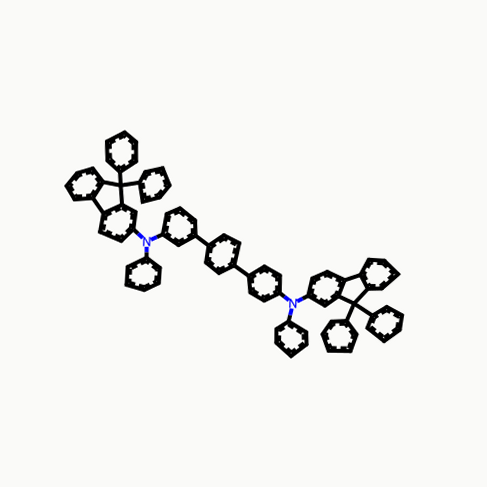 c1ccc(N(c2ccc(-c3ccc(-c4cccc(N(c5ccccc5)c5ccc6c(c5)C(c5ccccc5)(c5ccccc5)c5ccccc5-6)c4)cc3)cc2)c2ccc3c(c2)C(c2ccccc2)(c2ccccc2)c2ccccc2-3)cc1